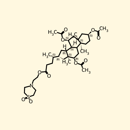 CC(=O)O[C@H]1CC[C@@]2(C)C3C[C@@H](OC(C)=O)[C@@]4(C)C[C@H]([C@@H](C)CCC(=O)OCCN5CCS(=O)(=O)CC5)C[C@@H]4[C@H]3[C@@H](OC(C)=O)C[C@@]2(C)C1